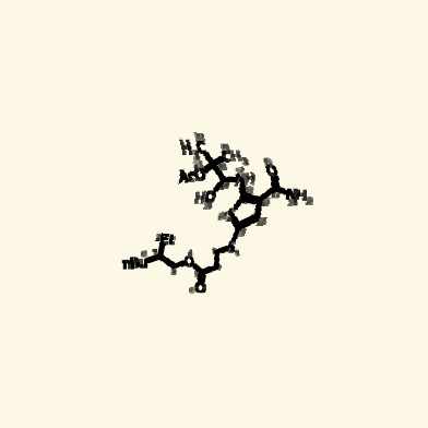 CCCCC(CC)COC(=O)CCSc1cc(C(N)=O)c(NC(O)C(C)(C)OC(C)=O)s1